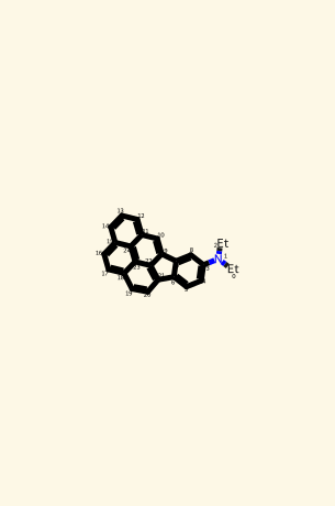 CCN(CC)c1ccc2c(c1)-c1cc3cccc4ccc5ccc-2c1c5c43